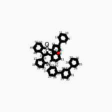 O=P1(c2cccc(-c3ccccc3)c2)C2=C(c3ccccc3N(c3cccc(-c4cccc(-c5ccccc5)c4)c3)c3ccccc32)c2ccccc21